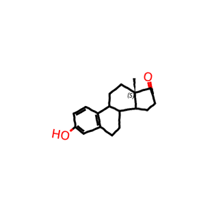 C[C@]12CCC3c4ccc(O)cc4CCC3C1CCC2=O